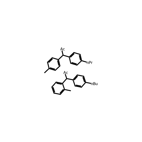 CCCCc1ccc(C(C(C)=O)c2ccccc2C)cc1.CCCc1ccc(C(C(C)=O)c2ccc(C)cc2)cc1